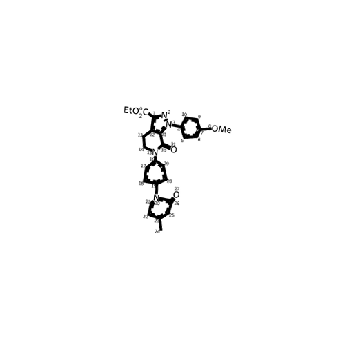 CCOC(=O)c1nn(-c2ccc(OC)cc2)c2c1CCN(c1ccc(-n3ccc(C)cc3=O)cc1)C2=O